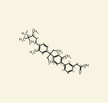 CCC(CC)(c1ccc(CCC(C)C(C)(C)C)c(C)c1)c1ccc(-c2cccc(CC(=O)O)c2)c(C)c1